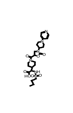 CCCCS(=O)(=O)NC(C(=O)O)C1CCN(C(=O)C2CN(C3CCN(c4ccncc4)CC3)C(=O)O2)CC1